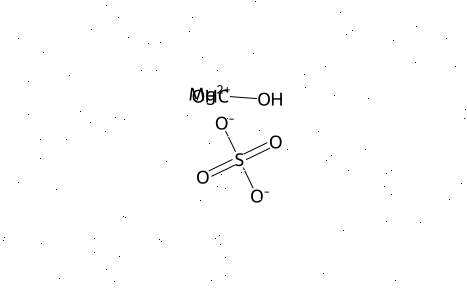 O=CO.O=S(=O)([O-])[O-].[Mg+2]